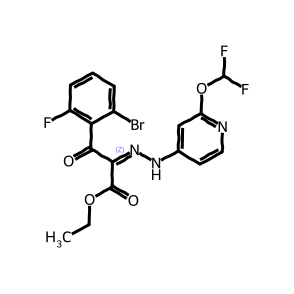 CCOC(=O)/C(=N\Nc1ccnc(OC(F)F)c1)C(=O)c1c(F)cccc1Br